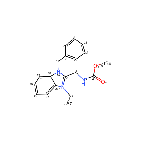 CC(=O)C[n+]1c(CNC(=O)OC(C)(C)C)n(Cc2ccccc2)c2ccccc21